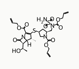 C=CCOC(=O)C1=C(S[C@H]2C[C@@H](CN(C(=O)OCC=C)S(N)(=O)=O)N(C(=O)OCC=C)C2)[C@H](C)[C@@H]2[C@@H]([C@@H](C)O)C(=O)N12